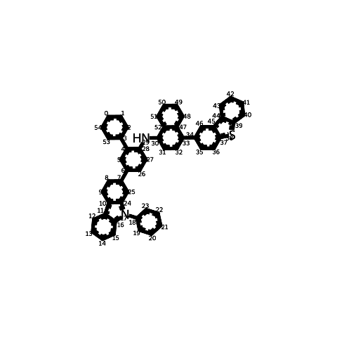 c1ccc(-c2cc(-c3ccc4c5ccccc5n(-c5ccccc5)c4c3)ccc2Nc2ccc(-c3ccc4sc5ccccc5c4c3)c3ccccc23)cc1